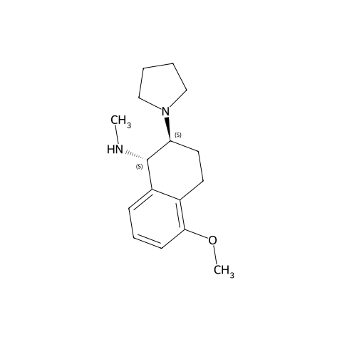 CN[C@H]1c2cccc(OC)c2CC[C@@H]1N1CCCC1